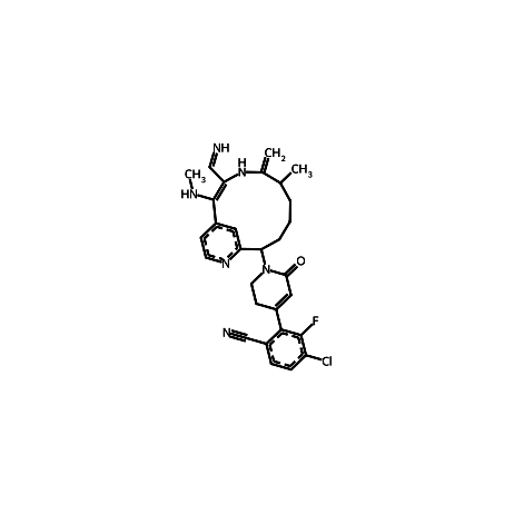 C=C1N/C(C=N)=C(/NC)c2ccnc(c2)C(N2CCC(c3c(C#N)ccc(Cl)c3F)=CC2=O)CCCC1C